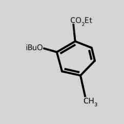 CCOC(=O)c1ccc(C)cc1OCC(C)C